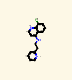 Fc1cccc2c(NCCc3ccccn3)ccnc12